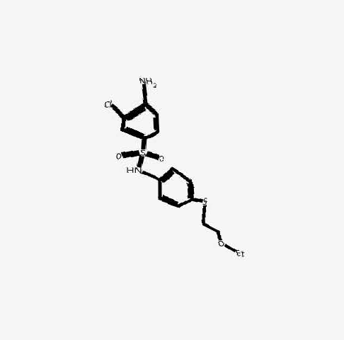 CCOCCSc1ccc(NS(=O)(=O)c2ccc(N)c(Cl)c2)cc1